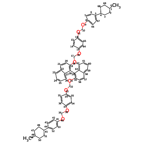 CC1CCC(c2ccc(OCOc3ccc(OCOc4ccc5ccccc5c4-c4c(OCOc5ccc(OCOc6ccc(C7CCC(C)CC7)cc6)cc5)ccc5ccccc45)cc3)cc2)CC1